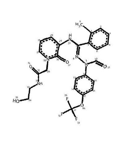 Cc1ccccc1/C(=N\N(C=O)c1ccc(OC(F)(F)F)cc1)Nc1cccn(CC(=O)NCCO)c1=O